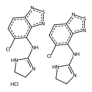 Cl.Clc1ccc2nsnc2c1NC1=NCCN1.Clc1ccc2nsnc2c1NC1=NCCN1